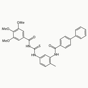 COc1cc(C(=O)NC(=S)Nc2ccc(C)c(NC(=O)c3ccc(-c4ccccc4)cc3)c2)cc(OC)c1OC